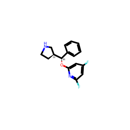 Fc1cc(F)nc(O[C@@H](c2ccccc2)[C@H]2CCNC2)c1